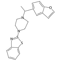 CC(c1ccc2occc2c1)N1CCN(S2=Nc3ccccc3S2)CC1